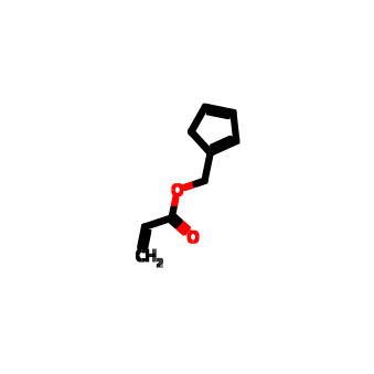 C=CC(=O)OCC1=CC=CC1